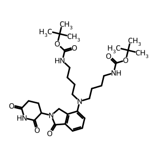 CC(C)(C)OC(=O)NCCCCN(CCCCNC(=O)OC(C)(C)C)c1cccc2c1CN(C1CCC(=O)NC1=O)C2=O